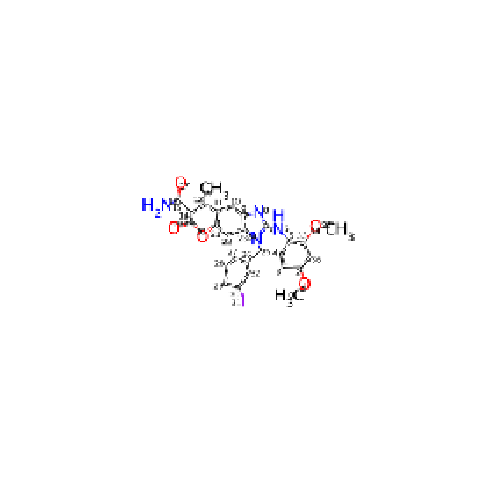 COc1ccc(Nc2nc3cc4c(C)c(C(N)=O)c(=O)oc4cc3n2Cc2cccc(I)c2)c(OC)c1